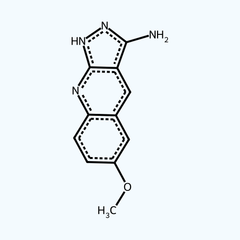 COc1ccc2nc3[nH]nc(N)c3cc2c1